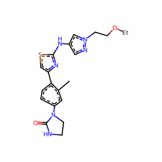 CCOCCn1cc(Nc2nc(-c3ccc(N4CCNC4=O)cc3C)cs2)cn1